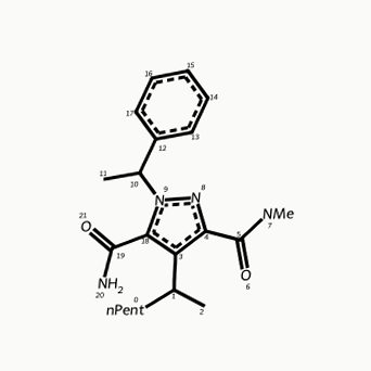 CCCCCC(C)c1c(C(=O)NC)nn(C(C)c2ccccc2)c1C(N)=O